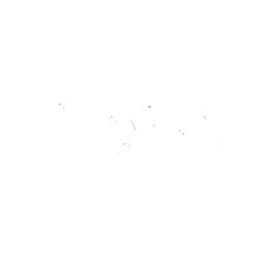 CC(C)C[C@H](NCc1ccc(NCC2CCN(C)CC2)c([N+](=O)[O-])c1)C(=O)OC1CCCC1